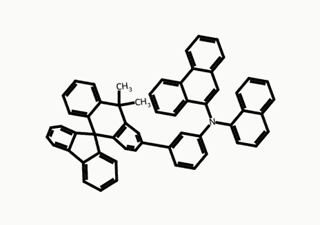 CC1(C)c2ccccc2C2(c3ccccc3-c3ccccc32)c2ccc(-c3cccc(N(c4cccc5ccccc45)c4cc5ccccc5c5ccccc45)c3)cc21